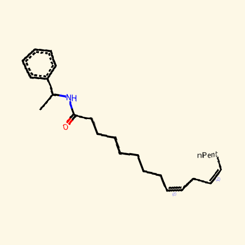 CCCCC/C=C\C/C=C\CCCCCCCC(=O)NC(C)c1ccccc1